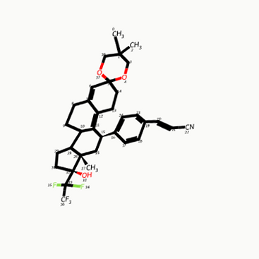 CC1(C)COC2(C=C3CCC4C(=C3CC2)[C@@H](c2ccc(/C=C/C#N)cc2)C[C@@]2(C)C4CC[C@@]2(O)C(F)(F)C(F)(F)F)OC1